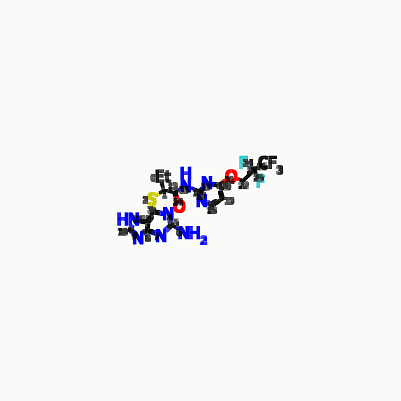 CC[C@H](Sc1nc(N)nc2nc[nH]c12)C(=O)Nc1nccc(OCC(F)(F)C(F)(F)F)n1